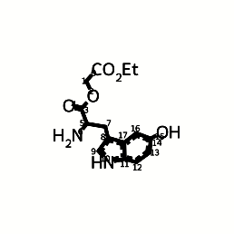 CCOC(=O)COC(=O)C(N)Cc1c[nH]c2ccc(O)cc12